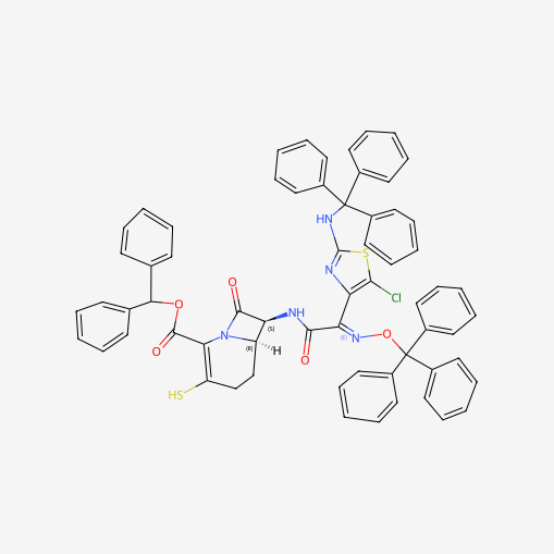 O=C(OC(c1ccccc1)c1ccccc1)C1=C(S)CC[C@@H]2[C@H](NC(=O)/C(=N/OC(c3ccccc3)(c3ccccc3)c3ccccc3)c3nc(NC(c4ccccc4)(c4ccccc4)c4ccccc4)sc3Cl)C(=O)N12